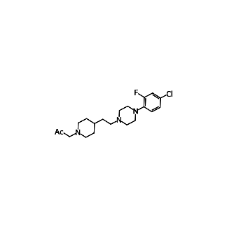 CC(=O)CN1CCC(CCN2CCN(c3ccc(Cl)cc3F)CC2)CC1